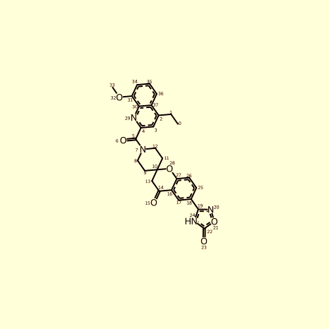 CCc1cc(C(=O)N2CCC3(CC2)CC(=O)c2cc(-c4noc(=O)[nH]4)ccc2O3)nc2c(OC)cccc12